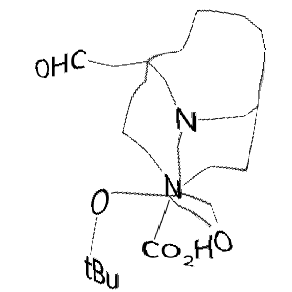 CC(C)(C)OC(=O)N1C2CCC1(C=O)CN(C(=O)O)C2